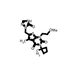 COCCn1c(=O)n(C2(C)CCC2)c(=O)c2c(C)c(Cn3nc[nH]c3=O)sc21